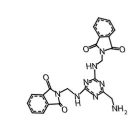 NCc1nc(NCN2C(=O)c3ccccc3C2=O)nc(NCN2C(=O)c3ccccc3C2=O)n1